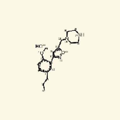 CCCc1ccc(OC)c(-c2cc(CN3CCNCC3)on2)c1.Cl